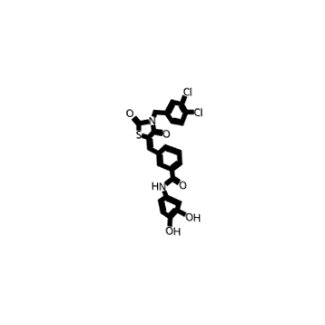 O=C(Nc1ccc(O)c(O)c1)c1cccc(C=C2SC(=O)N(Cc3ccc(Cl)c(Cl)c3)C2=O)c1